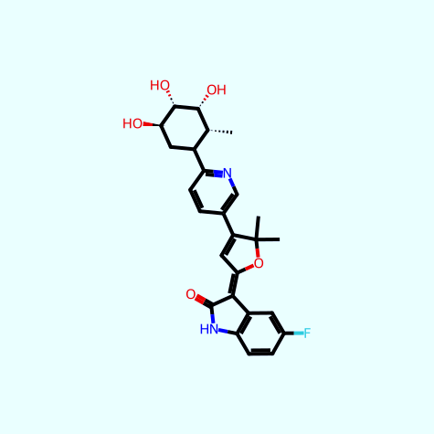 C[C@@H]1C(c2ccc(C3=C/C(=C4\C(=O)Nc5ccc(F)cc54)OC3(C)C)cn2)C[C@@H](O)[C@H](O)[C@@H]1O